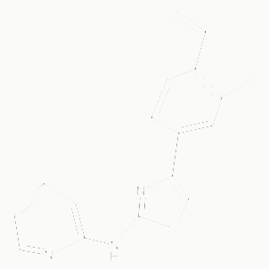 Cc1cc(-c2csc(Nc3ccccn3)n2)ccc1C=O